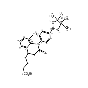 CCOC(=O)CCCC1CC(=O)N(c2ccc(B3OC(C)(C)C(C)(C)O3)cc2)c2c(C)cccc21